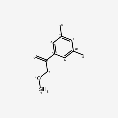 C=C(CO[SiH3])c1cc(C)cc(C)c1